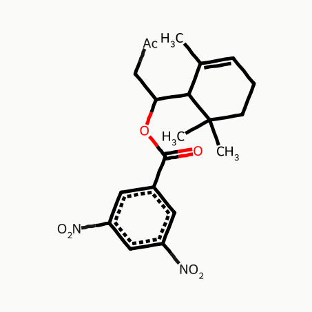 CC(=O)CC(OC(=O)c1cc([N+](=O)[O-])cc([N+](=O)[O-])c1)C1C(C)=CCCC1(C)C